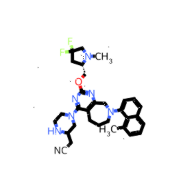 Cc1cccc2cccc(N3CCCc4c(nc(OC[C@@H]5CC(F)(F)CN5C)nc4N4CCNC(CC#N)C4)C3)c12